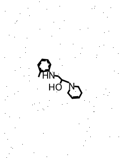 Cc1ccccc1NCC(O)CN1CC=CCC1